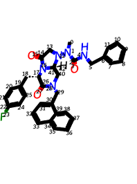 CN(C(=O)NCc1ccccc1)N1CC(=O)N2[C@@H](Cc3ccc(F)cc3)C(=O)N(Cc3cccc4ccccc34)C[C@@H]21